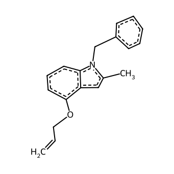 C=CCOc1cccc2c1cc(C)n2Cc1ccccc1